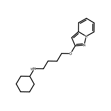 c1ccn2nc(OCCCCNC3CCCCC3)cc2c1